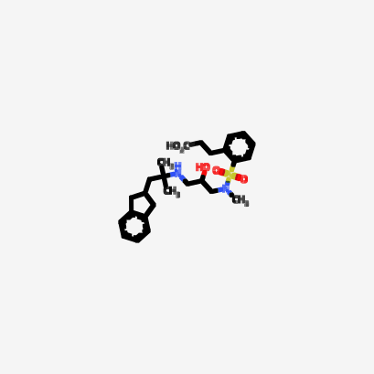 CN(CC(O)CNC(C)(C)CC1Cc2ccccc2C1)S(=O)(=O)c1ccccc1CCC(=O)O